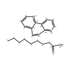 CCCCCCCCC(=O)O.c1cnc2c(c1)ccc1ncccc12